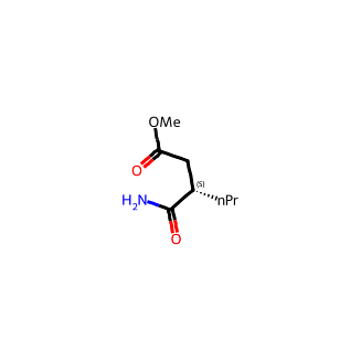 CCC[C@@H](CC(=O)OC)C(N)=O